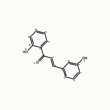 O=C(C=Cc1cccc(O)c1)c1ccccc1O